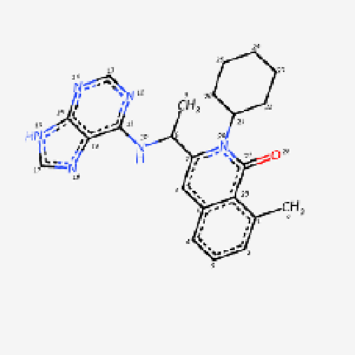 Cc1cccc2cc(C(C)Nc3ncnc4[nH]cnc34)n(C3CCCCC3)c(=O)c12